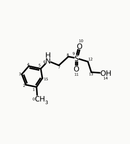 Cc1cccc(NCCS(=O)(=O)CCO)c1